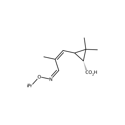 CC(/C=N\OC(C)C)=C/C1[C@@H](C(=O)O)C1(C)C